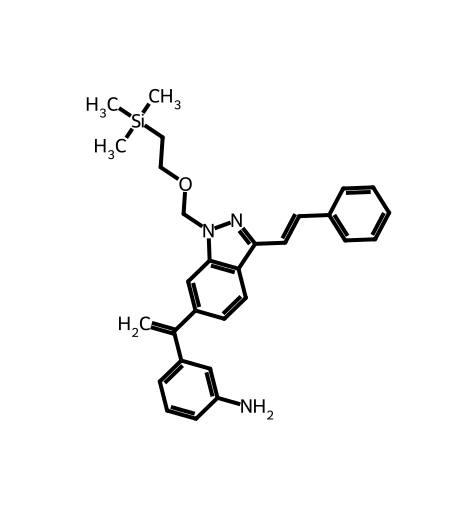 C=C(c1cccc(N)c1)c1ccc2c(C=Cc3ccccc3)nn(COCC[Si](C)(C)C)c2c1